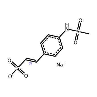 CS(=O)(=O)Nc1ccc(/C=C/S(=O)(=O)[O-])cc1.[Na+]